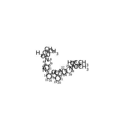 CC(C)(C)OC(=O)N1CCc2cc(-c3cccc(-c4cccc(-c5cc6c(cn5)CN(C(=O)OC(C)(C)C)CC6)c4Cl)c3Cl)ncc2C1